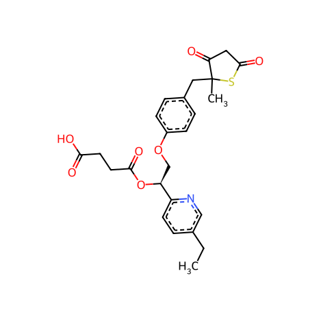 CCc1ccc([C@H](COc2ccc(CC3(C)SC(=O)CC3=O)cc2)OC(=O)CCC(=O)O)nc1